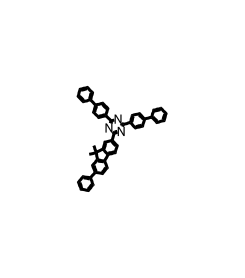 CC1(C)c2cc(-c3ccccc3)ccc2-c2ccc(-c3nc(-c4ccc(-c5ccccc5)cc4)nc(-c4ccc(-c5ccccc5)cc4)n3)cc21